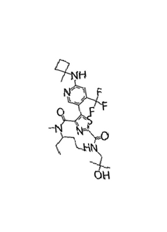 CCCC(CC)N(C)C(=O)c1nc(C(=O)NCC(C)(C)O)sc1-c1cnc(NC2(C)CCC2)cc1C(F)(F)F